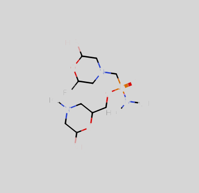 BC1CN(CP(=O)(OCC2CN(C(C)(C)C)CC(B)O2)N(C)C)CC(CC)O1